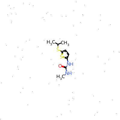 CNC(=O)Nc1ccc(SC(C)C)s1